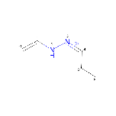 C=CN/N=C\CC